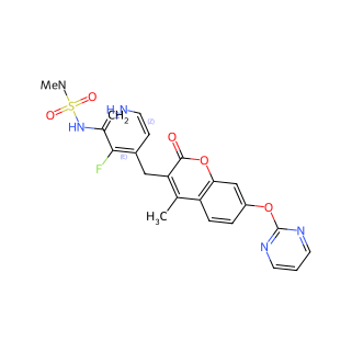 C=C(NS(=O)(=O)NC)/C(F)=C(\C=C/N)Cc1c(C)c2ccc(Oc3ncccn3)cc2oc1=O